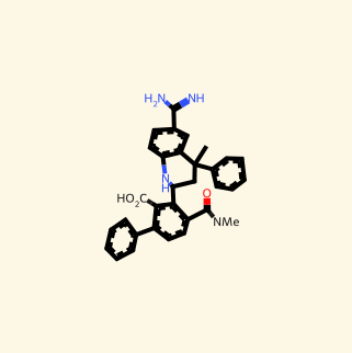 CNC(=O)c1ccc(-c2ccccc2)c(C(=O)O)c1C1CC(C)(c2ccccc2)c2cc(C(=N)N)ccc2N1